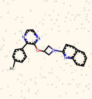 CC(=O)c1ccc(-c2nccnc2OC2CN(c3ccc4ccccc4n3)C2)cc1